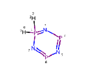 [2H]P1([2H])=NP=NP=N1